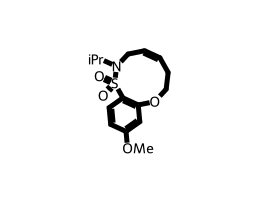 COc1ccc2c(c1)OCC/C=C\CN(C(C)C)S2(=O)=O